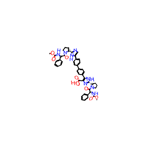 COC(=O)N[C@@H](C(=O)N1CCC[C@H]1c1ncc(-c2ccc(-c3ccc(-c4[nH]c([C@@H]5CCCN5C(=O)[C@H](NC(=O)OC)c5ccccc5)nc4C(=O)O)cc3)cc2)[nH]1)c1ccccc1